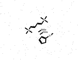 C[N-]C.C[N-]C.C[Si](C)(C)C=CC=C[Si](C)(C)C.[CH3][Ti+2][C]1=CC=CC1